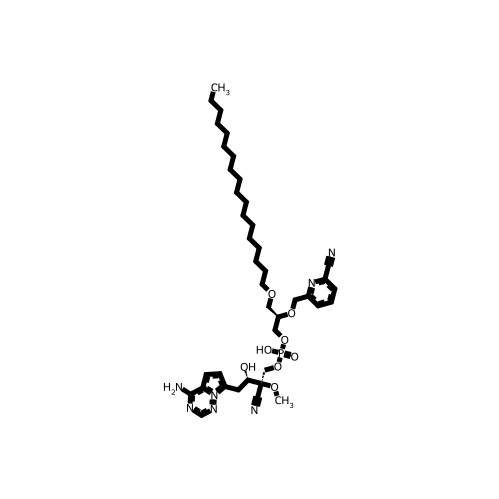 CCCCCCCCCCCCCCCCCCOC[C@H](COP(=O)(O)OC[C@@](C#N)(OC)[C@@H](O)Cc1ccc2c(N)ncnn12)OCc1cccc(C#N)n1